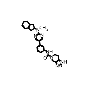 CN(c1ncc(-c2cccc(NC(=O)N3CCc4[nH]nnc4C3)c2)cn1)C1CC2=C(CCC=C2)C1